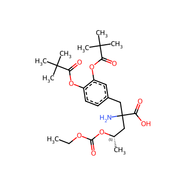 CCOC(=O)O[C@@H](C)CC(N)(Cc1ccc(OC(=O)C(C)(C)C)c(OC(=O)C(C)(C)C)c1)C(=O)O